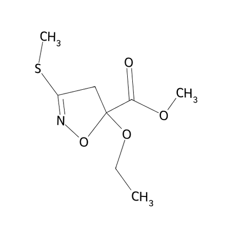 CCOC1(C(=O)OC)CC(SC)=NO1